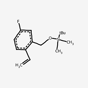 C=Cc1ccc(F)cc1CO[Si](C)(C)C(C)(C)C